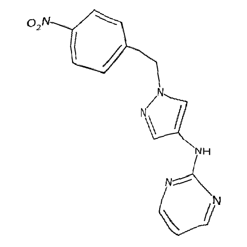 O=[N+]([O-])c1ccc(Cn2cc(Nc3ncccn3)cn2)cc1